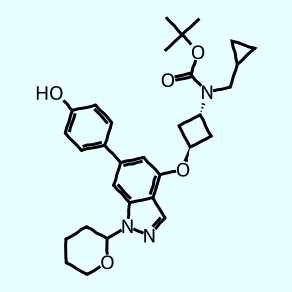 CC(C)(C)OC(=O)N(CC1CC1)[C@H]1C[C@H](Oc2cc(-c3ccc(O)cc3)cc3c2cnn3C2CCCCO2)C1